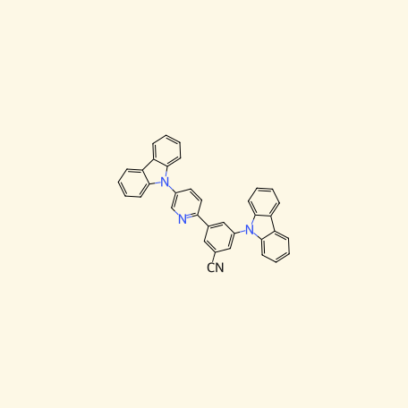 N#Cc1cc(-c2ccc(-n3c4ccccc4c4ccccc43)cn2)cc(-n2c3ccccc3c3ccccc32)c1